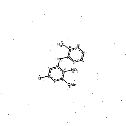 COc1cc(Cl)cc(Nc2cccnc2C)c1[N+](=O)[O-]